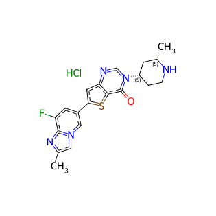 Cc1cn2cc(-c3cc4ncn([C@H]5CCN[C@@H](C)C5)c(=O)c4s3)cc(F)c2n1.Cl